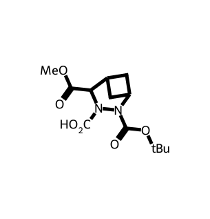 COC(=O)C1C2CC(C2)N(C(=O)OC(C)(C)C)N1C(=O)O